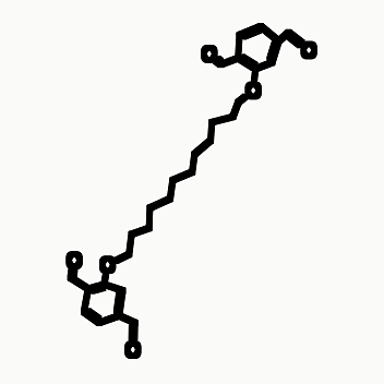 O=Cc1ccc(C=O)c(OCCCCCCCCCCCCOc2cc(C=O)ccc2C=O)c1